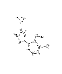 COc1c(Br)cccc1-c1nnc(C2CC2)o1